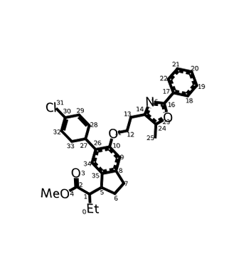 CCC(C(=O)OC)C1CCc2cc(OCCc3nc(-c4ccccc4)oc3C)c(C3C=CC(Cl)=CC3)cc21